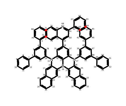 c1ccc(-c2cc(-c3ccccc3)cc(N3c4cc5ccccc5cc4B4c5cc6ccccc6cc5N(c5cc(-c6ccccc6)cc(-c6ccccc6)c5)c5cc(-c6cc(-c7ccccc7)nc7ccccc67)cc3c54)c2)cc1